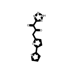 O=C(Cc1ccc(-c2cccs2)o1)C(=O)c1nn[nH]n1